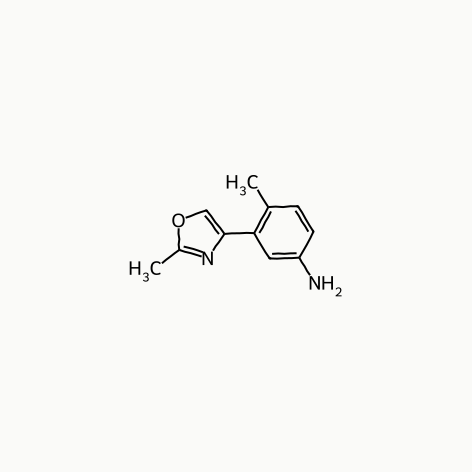 Cc1nc(-c2cc(N)ccc2C)co1